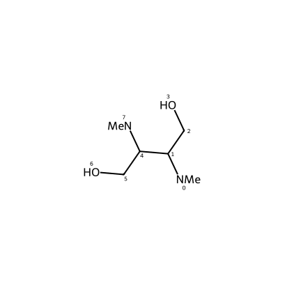 CNC(CO)C(CO)NC